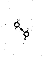 Nc1ccc(Cl)cc1C#Cc1cc(Br)ccc1N